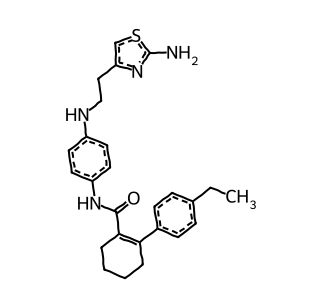 CCc1ccc(C2=C(C(=O)Nc3ccc(NCCc4csc(N)n4)cc3)CCCC2)cc1